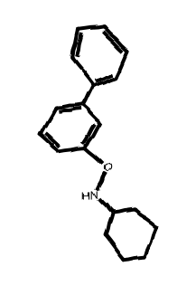 c1ccc(-c2cccc(ONC3CCCCC3)c2)cc1